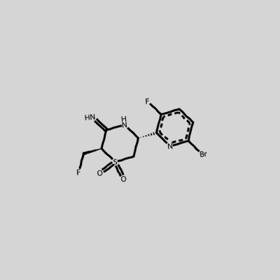 N=C1N[C@H](c2nc(Br)ccc2F)CS(=O)(=O)[C@H]1CF